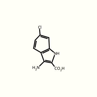 Nc1c(C(=O)O)[nH]c2cc(Cl)ccc12